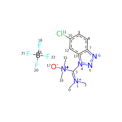 C[N+](C)=C(n1nnc2ccc(Cl)cc21)[N+](C)(C)[O-].F[B-](F)(F)F